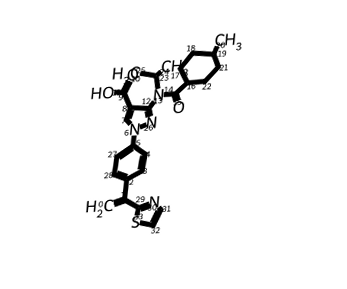 C=C(c1ccc(-n2cc(C(=O)O)c(N(C(=O)C3CCC(C)CC3)C(C)C)n2)cc1)c1nccs1